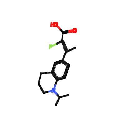 CC(=C(F)C(=O)O)c1ccc2c(c1)CCCN2C(C)C